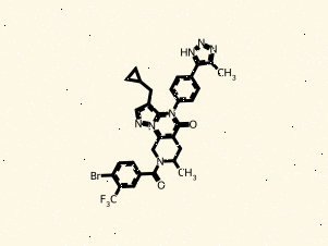 Cc1nn[nH]c1-c1ccc(-n2c(=O)c3c(n4ncc(CC5CC5)c24)CN(C(=O)c2ccc(Br)c(C(F)(F)F)c2)C(C)C3)cc1